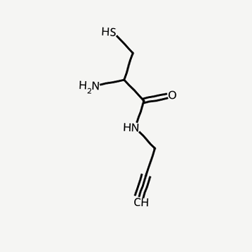 C#CCNC(=O)C(N)CS